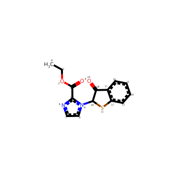 CCOC(=O)c1nccn1C1Sc2ccccc2C1=O